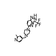 Cc1cc(CN2CCN(C3=NN4C(=NNC4C(F)(F)F)C=C3)CC2)ccn1